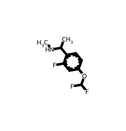 CNC(C)c1ccc(OC(F)F)cc1F